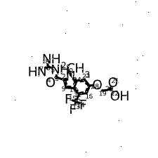 Cn1c(C(=O)NC(=N)N)cc2c(C(F)(F)F)cc(OCC(=O)O)cc21